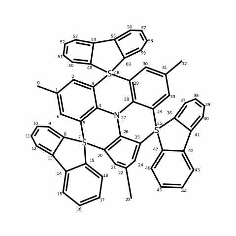 Cc1cc2c3c(c1)S1(c4ccccc4-c4ccccc41)c1cc(C)cc4c1N3c1c(cc(C)cc1S41c3ccccc3-c3ccccc31)S21c2ccccc2-c2ccccc21